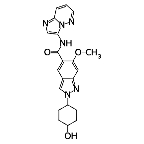 COc1cc2nn(C3CCC(O)CC3)cc2cc1C(=O)Nc1cnc2cccnn12